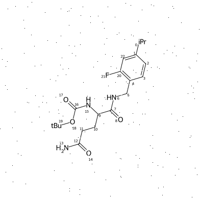 CC(C)c1ccc(CNC(=O)C(CCC(N)=O)NC(=O)OC(C)(C)C)c(F)c1